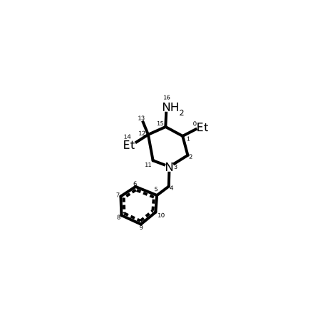 CCC1CN(Cc2ccccc2)CC(C)(CC)C1N